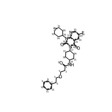 O=C(CCOCCc1ccccc1)NC1CCC(n2c(=O)c3cc(F)cnc3n(C3CCSCC3)c2=O)CC1